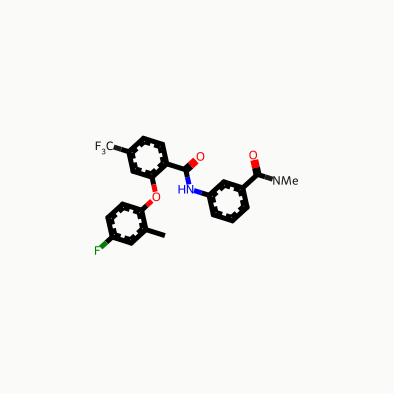 CNC(=O)c1cccc(NC(=O)c2ccc(C(F)(F)F)cc2Oc2ccc(F)cc2C)c1